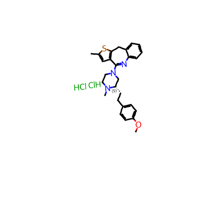 COc1ccc(CC[C@H]2CN(C3=Nc4ccccc4Cc4sc(C)cc43)CCN2C)cc1.Cl.Cl